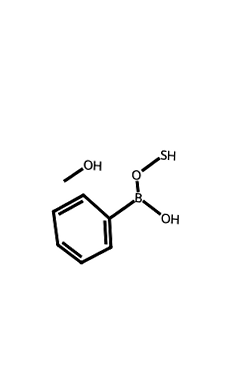 CO.OB(OS)c1ccccc1